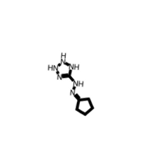 C1CCC(=NNC2=NNNN2)C1